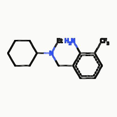 CCN(Cc1cccc(C(F)(F)F)c1N)C1CCCCC1